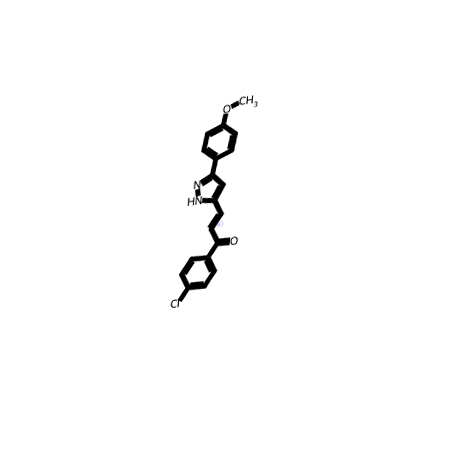 COc1ccc(-c2cc(/C=C/C(=O)c3ccc(Cl)cc3)[nH]n2)cc1